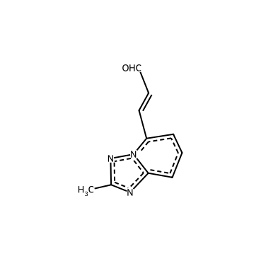 Cc1nc2cccc(/C=C/C=O)n2n1